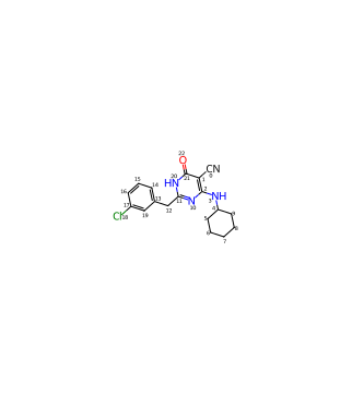 N#Cc1c(NC2CCCCC2)nc(Cc2cccc(Cl)c2)[nH]c1=O